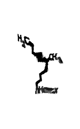 C=CCCCC(C)CCCCCCCCCC